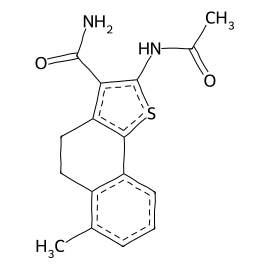 CC(=O)Nc1sc2c(c1C(N)=O)CCc1c(C)cccc1-2